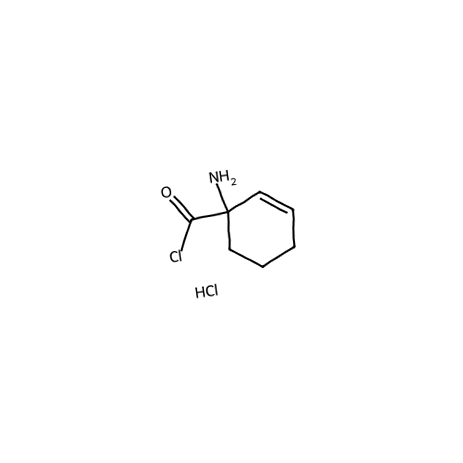 Cl.NC1(C(=O)Cl)C=CCCC1